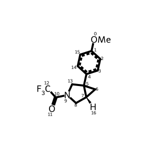 COc1ccc(C23C[C@@H]2CN(C(=O)C(F)(F)F)C3)cc1